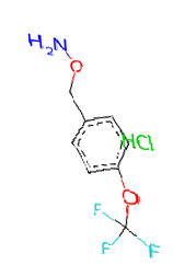 Cl.NOCc1ccc(OC(F)(F)F)cc1